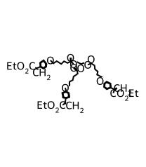 C=C(C(=O)OCC)c1ccc(OCCCCCC(=O)OCC(COC(=O)CCCCCOc2ccc(C(=C)C(=O)OCC)cc2)OC(=O)CCCCCOc2ccc(C(=C)C(=O)OCC)cc2)cc1